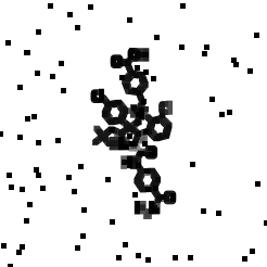 CC(C)(C)C[C@@H]1N[C@@H](C(=O)Nc2ccc(C(N)=O)cc2)[C@H](c2cccc(Cl)c2F)[C@]12CN(Cc1ccc(C(=O)O)cc1)c1cc(Cl)ccc12